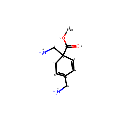 CC(C)(C)OC(=O)C1(CN)C=CC(CN)=CC1